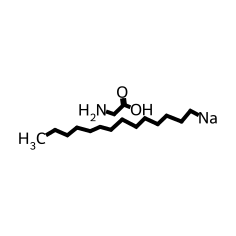 CCCCCCCCCCCCC[CH2][Na].NCC(=O)O